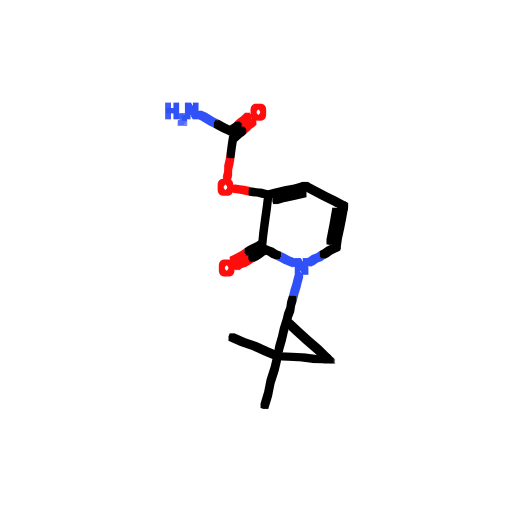 CC1(C)CC1n1cccc(OC(N)=O)c1=O